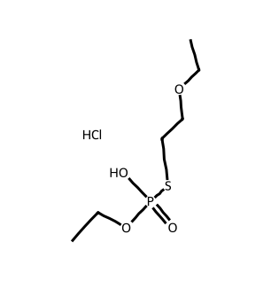 CCOCCSP(=O)(O)OCC.Cl